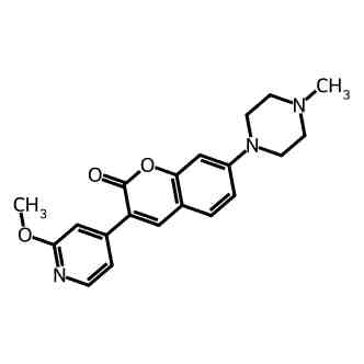 COc1cc(-c2cc3ccc(N4CCN(C)CC4)cc3oc2=O)ccn1